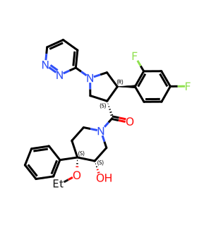 CCO[C@]1(c2ccccc2)CCN(C(=O)[C@@H]2CN(c3cccnn3)C[C@H]2c2ccc(F)cc2F)C[C@@H]1O